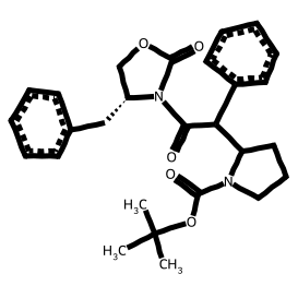 CC(C)(C)OC(=O)N1CCCC1C(C(=O)N1C(=O)OC[C@H]1Cc1ccccc1)c1ccccc1